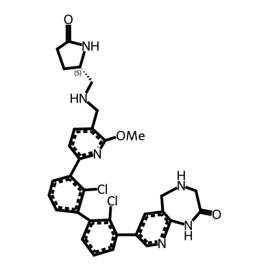 COc1nc(-c2cccc(-c3cccc(-c4cnc5c(c4)CNCC(=O)N5)c3Cl)c2Cl)ccc1CNC[C@@H]1CCC(=O)N1